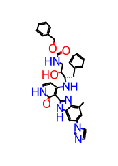 Cc1cc(-n2ccnc2)cc2[nH]c(-c3c(N[C@@H](Cc4ccccc4)[C@@H](O)CNC(=O)OCc4ccccc4)cc[nH]c3=O)nc12